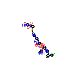 CC1(C)CCC(CN2CCN(c3ccc(C(=O)NS(=O)(=O)c4ccc(NCC5CCN(C6CCN(CCCCSc7cccc8c7CN(C7CCC(=O)NC7=O)C8=O)CC6)CC5)c([N+](=O)[O-])c4)c(Oc4cnc5[nH]ccc5c4)c3)CC2)=C(c2ccc(Cl)cc2)C1